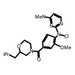 CNc1ccnc(N(Cl)c2ccc(C(=O)N3CCOC(CC(C)C)C3)cc2OC)n1